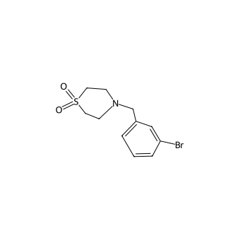 O=S1(=O)CCN(Cc2cccc(Br)c2)CC1